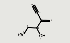 C#CC(=C)C(O)CC(C)(C)C